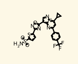 NS(=O)(=O)c1ccc(-c2noc(-c3cnn4c(C5CC5)cc(-c5ccc(C(F)(F)F)cc5)nc34)n2)s1